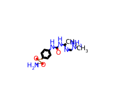 C=C(/N=C\N(C)N)NC(=O)Nc1ccc(S(N)(=O)=O)cc1